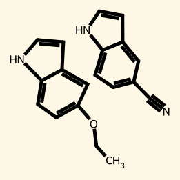 CCOc1ccc2[nH]ccc2c1.N#Cc1ccc2[nH]ccc2c1